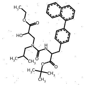 CCOC(=O)C(O)CN(CC(C)C)C(=O)NC(Cc1ccc(-c2cccc3ccccc23)cc1)C(=O)OC(C)(C)C